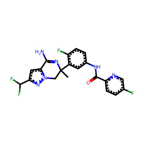 CC1(c2cc(NC(=O)c3ccc(F)cn3)ccc2F)Cn2nc(C(F)F)cc2C(N)=N1